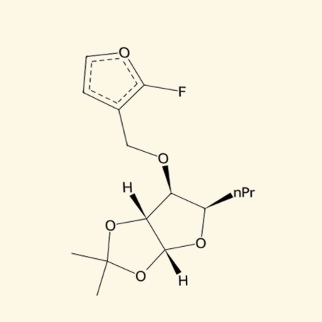 CCC[C@H]1O[C@@H]2OC(C)(C)O[C@@H]2[C@H]1OCc1ccoc1F